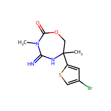 CN1C(=N)NC(C)(c2cc(Br)cs2)COC1=O